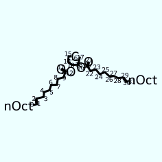 CCCCCCCCC=CCCCCCCCC(=O)O[C@@H]1CCCC[C@H]1OC(=O)CCCCCCCC=CCCCCCCCC